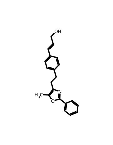 Cc1oc(-c2ccccc2)nc1CCc1ccc(C=CCO)cc1